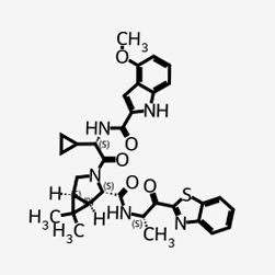 COc1cccc2[nH]c(C(=O)N[C@H](C(=O)N3C[C@H]4[C@@H]([C@H]3C(=O)N[C@@H](C)C(=O)c3nc5ccccc5s3)C4(C)C)C3CC3)cc12